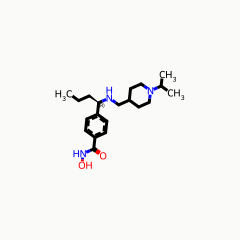 CCC[C@@H](NCC1CCN(C(C)C)CC1)c1ccc(C(=O)NO)cc1